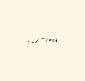 B=BCCC